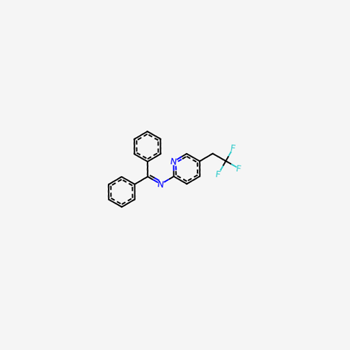 FC(F)(F)Cc1ccc(N=C(c2ccccc2)c2ccccc2)nc1